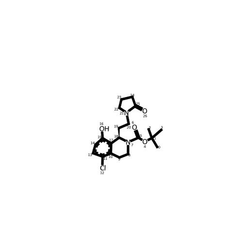 CC(C)(C)OC(=O)N1CCc2c(Cl)ccc(O)c2[C@H]1CCN1CCCC1=O